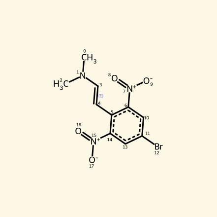 CN(C)/C=C/c1c([N+](=O)[O-])cc(Br)cc1[N+](=O)[O-]